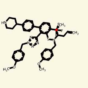 C=CCC(OC)N(Cc1ccc(OC)cc1)Sc1c(C(F)(F)F)ccc(-c2ccc(C3CCNCC3)cc2)c1-c1nnn(Cc2ccc(OC)cc2)n1